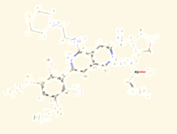 C=CC(=O)N[C@H]1COC[C@H]1Nc1cc2c(NCCN3CCOCC3)nc(-c3c(Cl)c(OC)cc(OC)c3Cl)cc2cn1